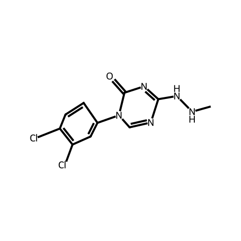 CNNc1ncn(-c2ccc(Cl)c(Cl)c2)c(=O)n1